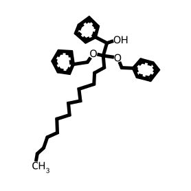 CCCCCCCCCCCCCC(OCc1ccccc1)(OCc1ccccc1)C(O)c1ccccc1